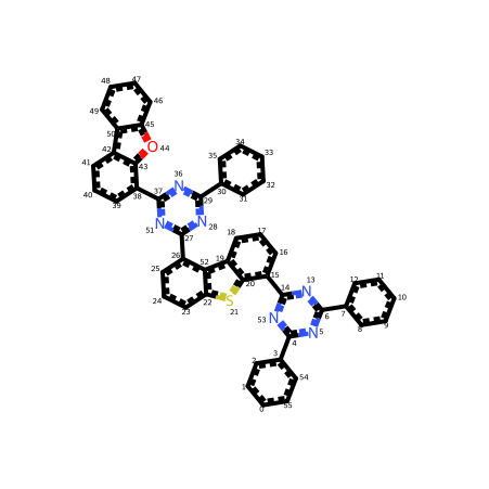 c1ccc(-c2nc(-c3ccccc3)nc(-c3cccc4c3sc3cccc(-c5nc(-c6ccccc6)nc(-c6cccc7c6oc6ccccc67)n5)c34)n2)cc1